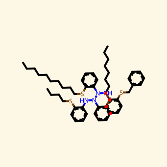 CCCCCCCCCCSc1ccccc1N(Nc1ccccc1SCc1ccccc1)N(Nc1ccccc1SCCCC)c1ccccc1SCCCCCCCC